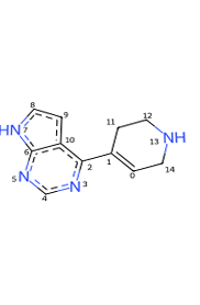 C1=C(c2ncnc3[nH]ccc23)CCNC1